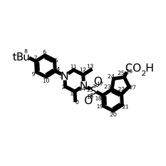 CC1CN(c2ccc(C(C)(C)C)cc2)CC(C)N1S(=O)(=O)c1cccc2c1CC(C(=O)O)C2